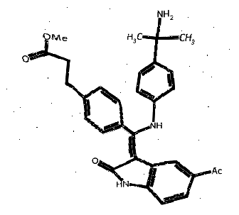 COC(=O)CCc1ccc(C(Nc2ccc(C(C)(C)N)cc2)=C2C(=O)Nc3ccc(C(C)=O)cc32)cc1